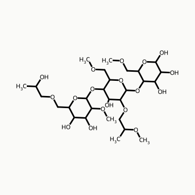 COCC1OC(O)C(O)C(O)C1OC1OC(COC)C(OC2OC(COCC(C)O)C(O)C(O)C2OC)C(O)C1OCC(C)OC